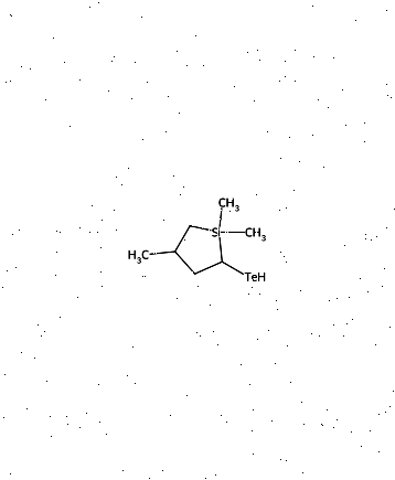 CC1CC([TeH])[Si](C)(C)C1